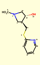 O=C(O)N1C[C@H](CSc2ccccn2)[C@@H](O)C1